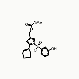 CNC(=O)OCc1cc(C2=CCCCC2)n(S(=O)(=O)c2cccc(O)c2)c1